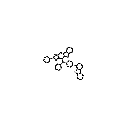 c1ccc(-c2nc3cc4c(oc5ccccc54)c(N(c4ccccc4)c4ccc(-c5cccc6c5oc5ccccc56)cc4)c3o2)cc1